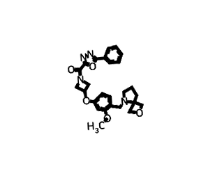 COc1cc(OC2CN(C(=O)c3nnc(-c4ccccc4)o3)C2)ccc1CN1CCCC12COC2